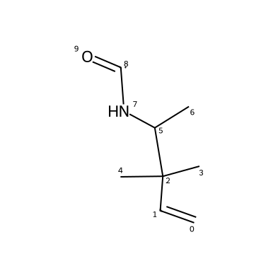 C=CC(C)(C)C(C)N[C]=O